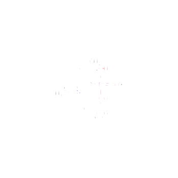 C=CC(N(C)CC(=O)O)P(=O)(O)O